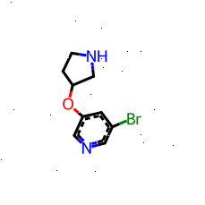 Brc1cncc(OC2CCNC2)c1